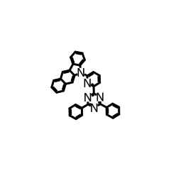 c1ccc(-c2nc(-c3ccccc3)nc(-c3cccc(-n4c5ccccc5c5cc6ccccc6cc54)n3)n2)cc1